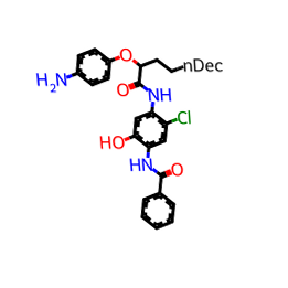 CCCCCCCCCCCCC(Oc1ccc(N)cc1)C(=O)Nc1cc(O)c(NC(=O)c2ccccc2)cc1Cl